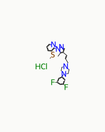 CSc1cccnc1-n1ncc(C=CCN2CCN(c3cc(F)cc(F)c3)CC2)c1C.Cl